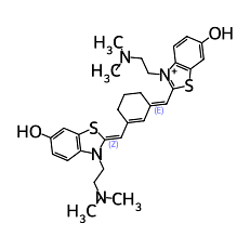 CN(C)CCN1/C(=C/C2=CC(=C/c3sc4cc(O)ccc4[n+]3CCN(C)C)/CCC2)Sc2cc(O)ccc21